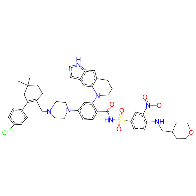 CC1(C)CCC(CN2CCN(c3ccc(C(=O)NS(=O)(=O)c4ccc(NCC5CCOCC5)c([N+](=O)[O-])c4)c(N4CCCc5cc6[nH]ccc6cc54)c3)CC2)=C(c2ccc(Cl)cc2)C1